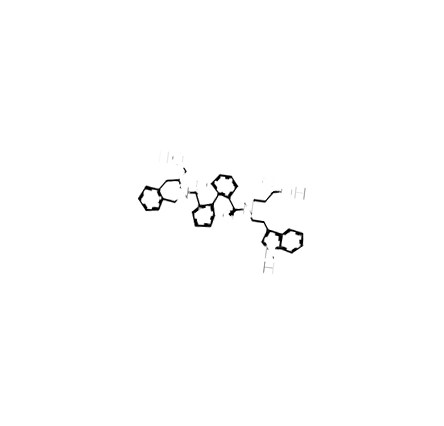 O=C(O)CCN(CCc1c[nH]c2ccccc12)C(=O)c1ccccc1-c1ccccc1C(=O)N1Cc2ccccc2C[C@H]1CO